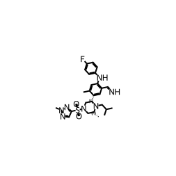 Cc1cc(Nc2ccc(F)cc2)c(C=N)cc1[C@H]1CN(S(=O)(=O)c2cnn(C)n2)C[C@@H](C)N1CC(C)C